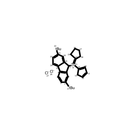 CC(C)(C)c1ccc2c(c1)[CH]([Zr+2]([C]1=CC=CC1)=[C]1CCCC1)c1cc(C(C)(C)C)ccc1-2.[Cl-].[Cl-]